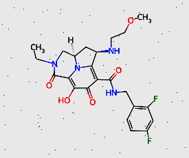 CCN1C[C@H]2C[C@@H](NCCOC)c3c(C(=O)NCc4ccc(F)cc4F)c(=O)c(O)c(n32)C1=O